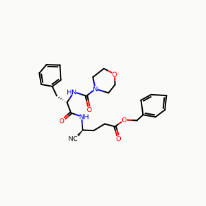 N#C[C@H](CCC(=O)OCc1ccccc1)NC(=O)[C@H](Cc1ccccc1)NC(=O)N1CCOCC1